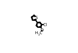 COc1ccc(-c2cc[c]s2)cc1Cl